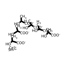 CC(O)C(=O)[O-].CC(O)C(=O)[O-].CC(O)C(=O)[O-].CC(O)C(=O)[O-].CC(O)C(=O)[O-].CC(O)C(=O)[O-].[Ce+3].[Sm+3]